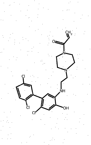 C=CC(=O)N1CCN(CCNc2cc(-c3cc(Cl)ccc3Cl)c(Cl)cc2O)CC1